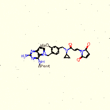 CCCCCNc1nc(N)nc2ccn(Cc3ccc(CN(C(=O)C=CN4C(=O)C=CC4=O)C4CC4)cc3OC)c12